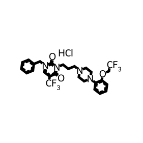 Cl.O=c1c(C(F)(F)F)cn(Cc2ccccc2)c(=O)n1CCCN1CCN(c2ccccc2OCC(F)(F)F)CC1